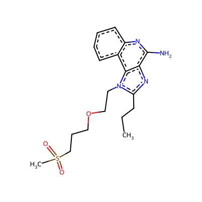 CCCc1nc2c(N)nc3ccccc3c2n1CCOCCCS(C)(=O)=O